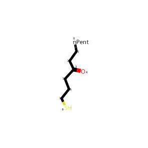 CCCCCCCC(=O)CC[CH]S